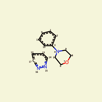 c1ccc(N2CCOCC2)cc1.c1ccnnc1